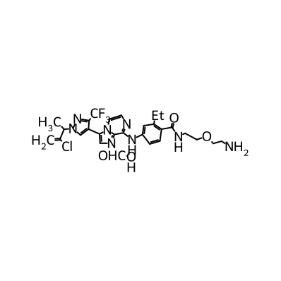 C=C(Cl)C(C)n1cc(-c2cnc3c(Nc4ccc(C(=O)NCCOCCN)c(CC)c4)nccn23)c(C(F)(F)F)n1.O=CO